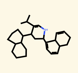 CC(C)C1=CNC(C2=CC=CC3CCC=CC23)CC1C1CCCC2CCCCC21